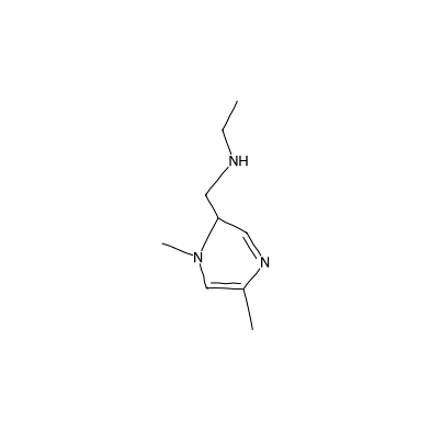 CCNCC1C=NC(C)=CN1C